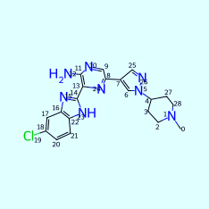 CN1CCC(n2cc(-c3cnc(N)c(-c4nc5cc(Cl)ccc5[nH]4)n3)cn2)CC1